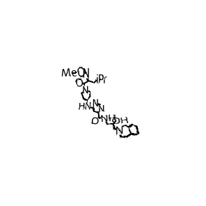 CO/N=C(/CC(C)C)C(=O)N1CCC(Nc2cc(C(=O)NCC(O)CN3CCc4ccccc4C3)ncn2)CC1